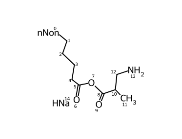 CCCCCCCCCCCCCC(=O)OC(=O)C(C)CN.[NaH]